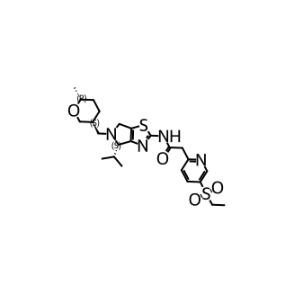 CCS(=O)(=O)c1ccc(CC(=O)Nc2nc3c(s2)CN(C[C@@H]2CC[C@@H](C)OC2)[C@H]3C(C)C)nc1